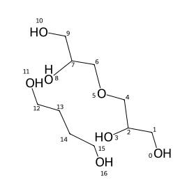 OCC(O)COCC(O)CO.OCCCCO